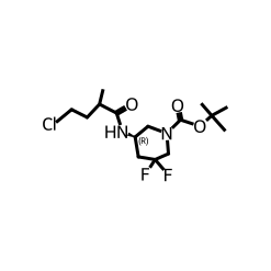 CC(CCCl)C(=O)N[C@H]1CN(C(=O)OC(C)(C)C)CC(F)(F)C1